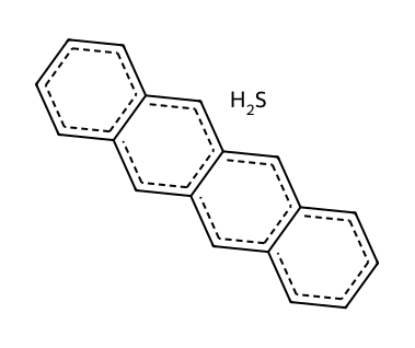 S.c1ccc2cc3cc4ccccc4cc3cc2c1